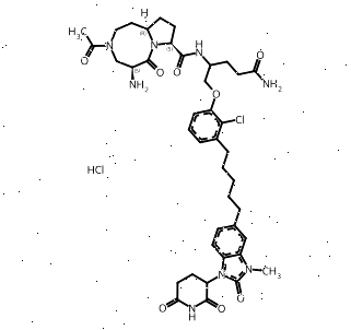 CC(=O)N1CC[C@H]2CC[C@@H](C(=O)NC(CCC(N)=O)COc3cccc(CCCCCc4ccc5c(c4)n(C)c(=O)n5C4CCC(=O)NC4=O)c3Cl)N2C(=O)[C@@H](N)C1.Cl